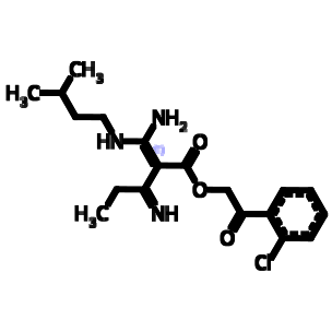 CCC(=N)/C(C(=O)OCC(=O)c1ccccc1Cl)=C(/N)NCCC(C)C